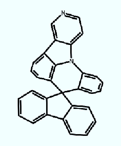 c1ccc2c(c1)-c1ccccc1C21c2ccccc2-n2c3ccncc3c3cccc1c32